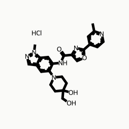 Cc1cc(-c2nc(C(=O)Nc3cc4c(cnn4C)cc3N3CCC(O)(CO)CC3)co2)ccn1.Cl